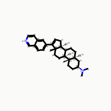 CN(C)[C@H]1CC[C@@]2(C)[C@@H](CCC3[C@@H]4CC=C(c5ccc6cnccc6c5)C4(C)CC[C@@H]32)C1